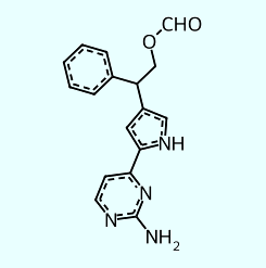 Nc1nccc(-c2cc(C(COC=O)c3ccccc3)c[nH]2)n1